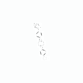 Oc1ccc(N2CCN(c3ccc(-n4cncn4)cc3)CC2)cc1